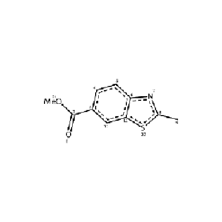 COC(=O)c1ccc2nc(C)sc2c1